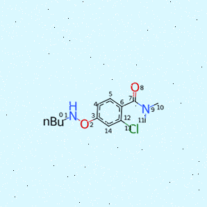 CCCCNOc1ccc(C(=O)N(C)C)c(Cl)c1